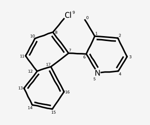 Cc1cccnc1-c1c(Cl)ccc2ccccc12